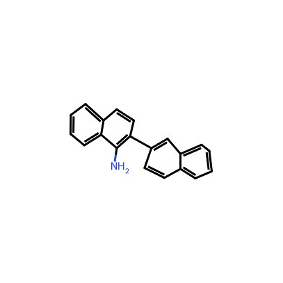 Nc1c(-c2ccc3ccccc3c2)ccc2ccccc12